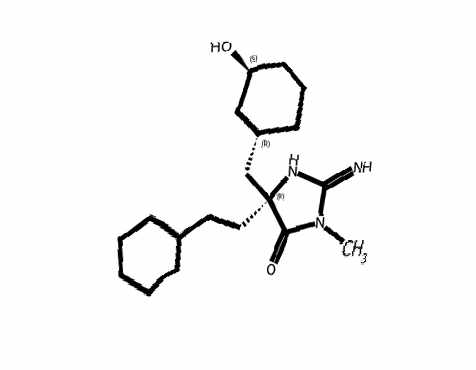 CN1C(=N)N[C@](CCC2CCCCC2)(C[C@H]2CCC[C@H](O)C2)C1=O